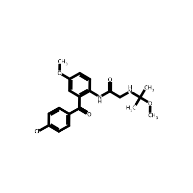 COc1ccc(NC(=O)CNC(C)(C)OC)c(C(=O)c2ccc(Cl)cc2)c1